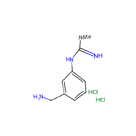 CNC(=N)Nc1cccc(CN)c1.Cl.Cl